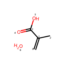 C=C(C)C(=O)O.O